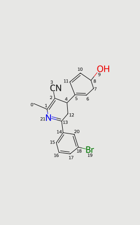 CC1=C(C#N)C(C2=CCC(O)C=C2)CC(c2cccc(Br)c2)=N1